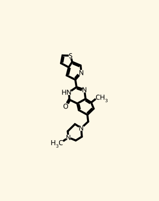 Cc1cc(CN2CCN(C)CC2)cc2c(=O)[nH]c(-c3cc4ccsc4cn3)nc12